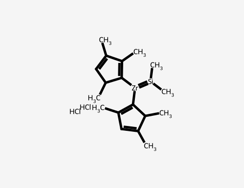 CC1=CC(C)[C]([Zr]([C]2=C(C)C=C(C)C2C)=[Si](C)C)=C1C.Cl.Cl